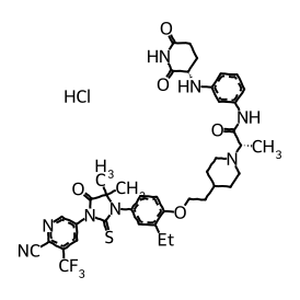 CCc1cc(N2C(=S)N(c3cnc(C#N)c(C(F)(F)F)c3)C(=O)C2(C)C)ccc1OCCC1CCN([C@@H](C)C(=O)Nc2cccc(N[C@H]3CCC(=O)NC3=O)c2)CC1.Cl